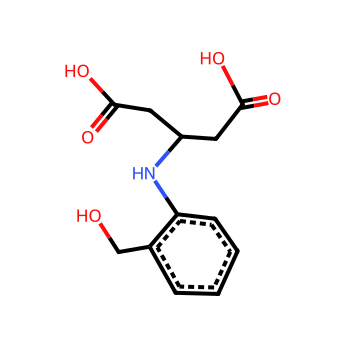 O=C(O)CC(CC(=O)O)Nc1ccccc1CO